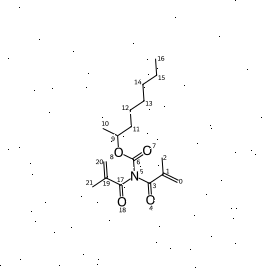 C=C(C)C(=O)N(C(=O)OC(C)CCCCCC)C(=O)C(=C)C